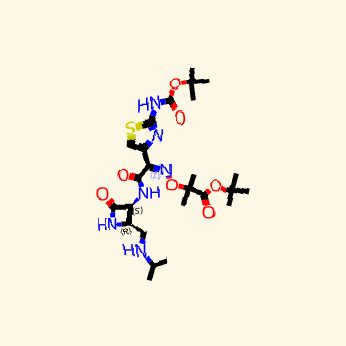 CC(C)NC[C@H]1NC(=O)[C@H]1NC(=O)/C(=N\OC(C)(C)C(=O)OC(C)(C)C)c1csc(NC(=O)OC(C)(C)C)n1